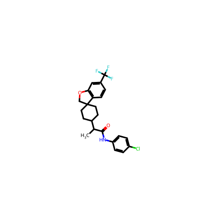 CC(C(=O)Nc1ccc(Cl)cc1)C1CCC2(CC1)COc1cc(C(F)(F)F)ccc12